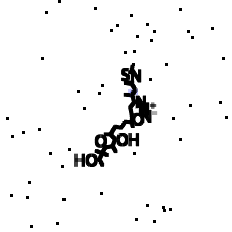 C/C(=C\c1csc(C)n1)C(CC1OC1(C)CCCC(C)C(O)C(C)C(=O)C(C)(C)C(C)O)N=[N+]=[N-]